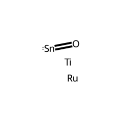 [O]=[Sn].[Ru].[Ti]